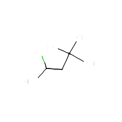 CC(Cl)CC(C)(C)C